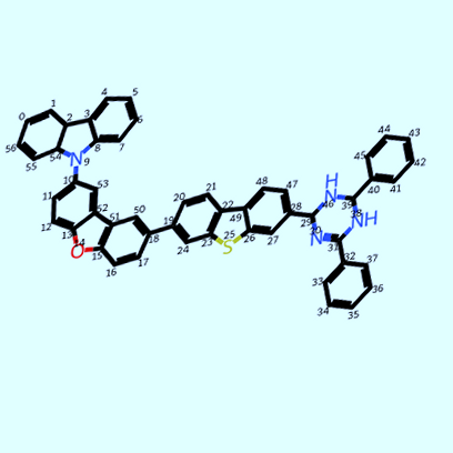 C1=CC2c3ccccc3N(c3ccc4oc5ccc(-c6ccc7c(c6)sc6cc(C8N=C(c9ccccc9)NC(c9ccccc9)N8)ccc67)cc5c4c3)C2C=C1